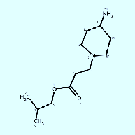 CC(C)COC(=O)CCN1CCC(N)CC1